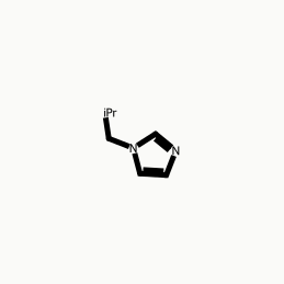 CC(C)Cn1ccnc1